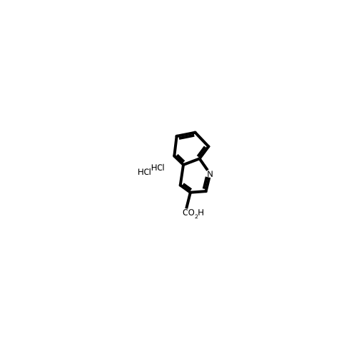 Cl.Cl.O=C(O)c1cnc2ccccc2c1